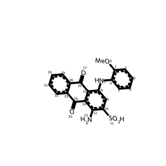 COc1ccccc1Nc1cc(S(=O)(=O)O)c(N)c2c1C(=O)c1ccccc1C2=O